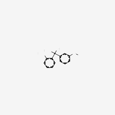 [CH2]C(O)(c1cccc(OC)c1)c1ccccc1C